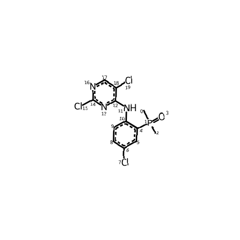 CP(C)(=O)c1cc(Cl)ccc1Nc1nc(Cl)ncc1Cl